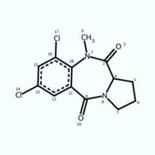 CN1C(=O)C2CCCN2C(=O)c2cc(Cl)cc(Cl)c21